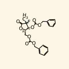 C[C@]1(F)C(=O)O[C@H](COC(=O)OCc2ccccc2)[C@H]1OC(=O)OCc1ccccc1